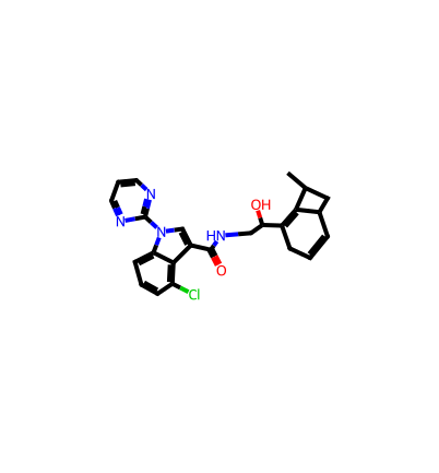 CC1CC2C=CCC(C(O)CNC(=O)c3cn(-c4ncccn4)c4cccc(Cl)c34)=C12